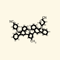 Cc1cc2c3c(c1)-c1cc4c5ccccc5n(-c5ccc(C#N)cc5)c4c4cccc(c14)B3c1cccc3c1c-2cc1c2ccccc2n(-c2ccc(C#N)cc2)c31